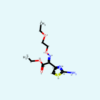 CCOCCO/N=C(\C(=O)OCC)c1csc(N)n1